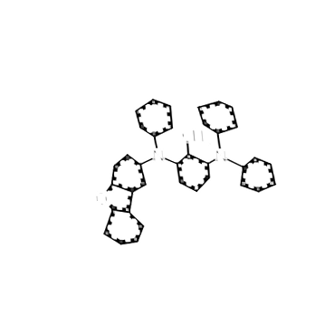 Cc1c(N(c2ccccc2)c2ccccc2)cccc1N(c1ccccc1)c1ccc2oc3ccccc3c2c1